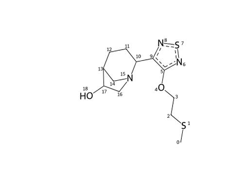 CSCCOc1nsnc1C1CCC2CN1CC2O